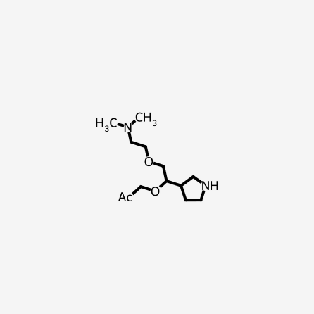 CC(=O)COC(COCCN(C)C)C1CCNC1